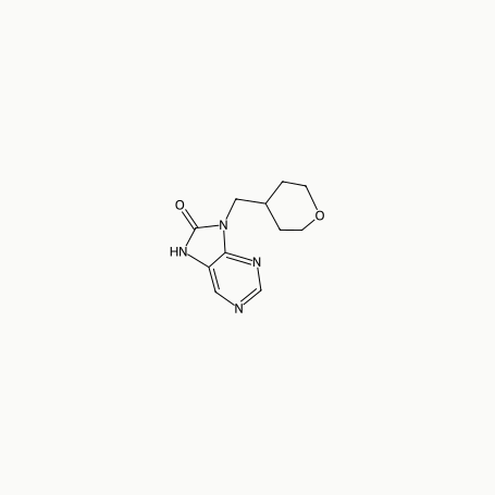 O=c1[nH]c2cncnc2n1CC1CCOCC1